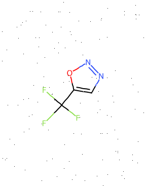 FC(F)(F)c1cnno1